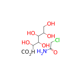 NC(=O)CCl.O=C(O)C(O)C(O)C(O)C(O)CO